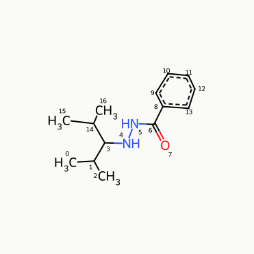 CC(C)C(NNC(=O)c1ccccc1)C(C)C